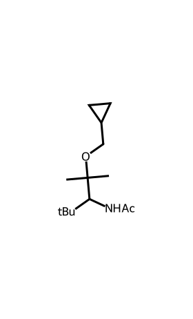 CC(=O)NC(C(C)(C)C)C(C)(C)OCC1CC1